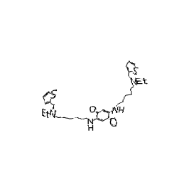 CCN(CCCCCCNC1=CC(=O)C(NCCCCCCN(CC)Cc2cccs2)=CC1=O)Cc1cccs1